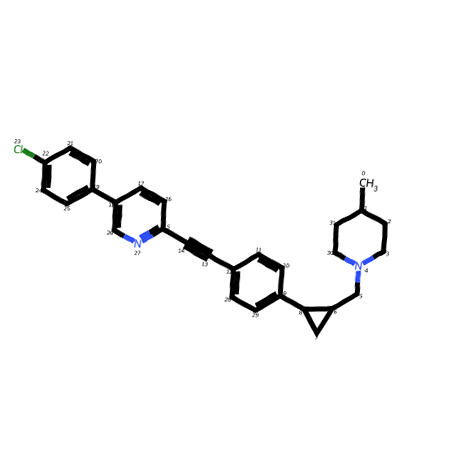 CC1CCN(CC2CC2c2ccc(C#Cc3ccc(-c4ccc(Cl)cc4)cn3)cc2)CC1